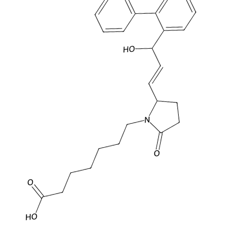 O=C(O)CCCCCCN1C(=O)CCC1C=CC(O)c1ccccc1-c1ccccc1